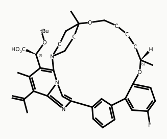 C=C(C)c1c(C)c([C@H](OC(C)(C)C)C(=O)O)c2n3cc(nc13)-c1cccc(c1)-c1cc(F)ccc1O[C@@H](C)CCCCOC1(C)CCN2CC1